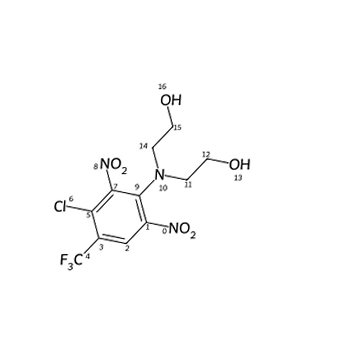 O=[N+]([O-])c1cc(C(F)(F)F)c(Cl)c([N+](=O)[O-])c1N(CCO)CCO